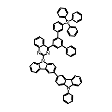 c1ccc(-c2cc(-c3cccc([Si](c4ccccc4)(c4ccccc4)c4ccccc4)c3)cc(-c3nc(-n4c5ccccc5c5cc(-c6ccc7c(c6)c6ccccc6n7-c6ccccc6)ccc54)nc4ccccc34)c2)cc1